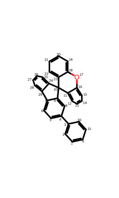 c1ccc(-c2ccc3c(c2)C2(c4ccccc4Oc4ccccc42)c2ccccc2-3)cc1